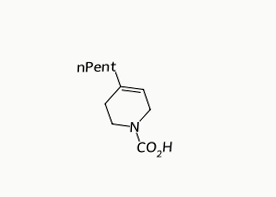 CCCCCC1=CCN(C(=O)O)CC1